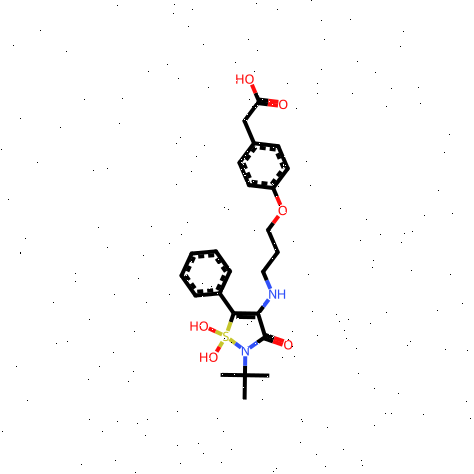 CC(C)(C)N1C(=O)C(NCCCOc2ccc(CC(=O)O)cc2)=C(c2ccccc2)S1(O)O